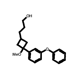 COC1(c2cccc(Oc3ccccc3)c2)CC(CCCO)C1